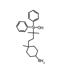 BC1CCC(C)(CCC(C)(C)[Si](O)(c2ccccc2)c2ccccc2)CC1